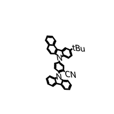 CC(C)(C)c1ccc2c(c1)c1c3ccccc3ccc1n2-c1ccc(-n2c3ccccc3c3ccccc32)c(C#N)c1